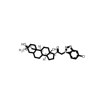 CSCC12CC[C@@](C)(O)CC1CCC1[C@@H]2CC[C@]2(C)[C@@H](C(=O)Cn3nnc4cc(Cl)ccc43)CC[C@@H]12